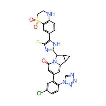 O=c1cc(-c2cc(Cl)ccc2-n2cnnn2)cc2n1C(c1nc(F)c(-c3ccc4c(c3)S(=O)(=O)CCN4)[nH]1)C1CC21